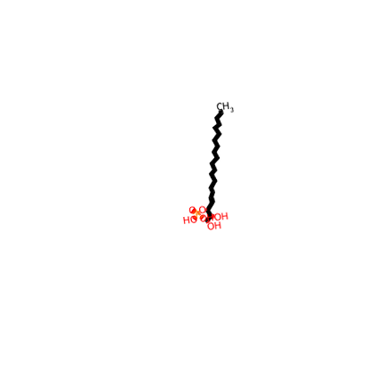 CCCCCCCCCCCCCCCCC=CC(OP(=O)(O)O)C(O)CO